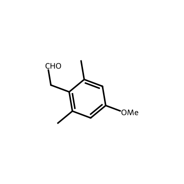 COc1cc(C)c(CC=O)c(C)c1